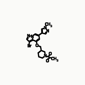 Cn1cc(-c2cc(OCC3CCCN(S(C)(=O)=O)C3)c3c(Br)cnn3c2)cn1